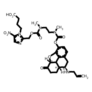 C=CCN[C@@H]1Cc2ccc(OC(=O)N(C)CCN(C)C(=O)OCc3ncc([N+](=O)[O-])n3CCCC(=O)O)c3c2C2[C@H]1CCC(=O)[C@@H]2O3